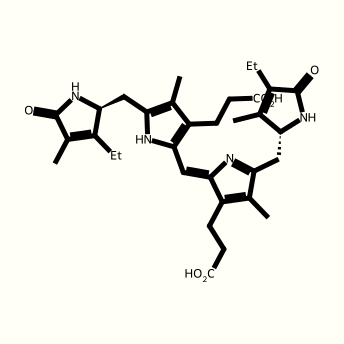 CCC1=C(C)[C@@H](CC2=NC(=Cc3[nH]c(C[C@@H]4NC(=O)C(C)=C4CC)c(C)c3CCC(=O)O)C(CCC(=O)O)=C2C)NC1=O